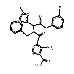 Cc1ccc(C(C(=O)Nc2cccc(F)c2)N(Cc2ccccc2)C(=O)c2snc(C(N)=O)c2N)o1